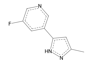 Cc1cc(-c2cncc(F)c2)[nH]n1